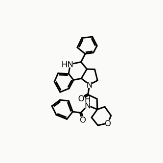 O=C(NC1(CC(=O)N2CCC3C(c4ccccc4)Nc4ccccc4C32)CCOCC1)c1ccccc1